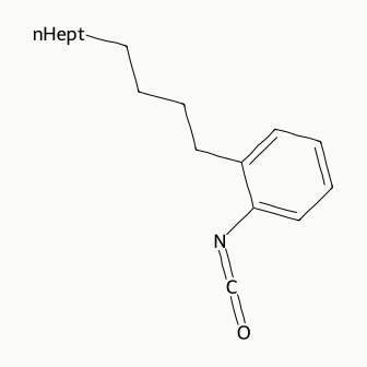 CCCCCCCCCCCc1ccccc1N=C=O